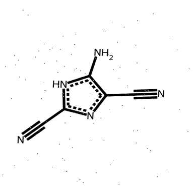 N#Cc1nc(C#N)c(N)[nH]1